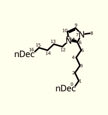 CCCCCCCCCCCCCCCc1n(C)cc[n+]1CCCCCCCCCCCCCC